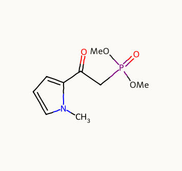 COP(=O)(CC(=O)c1cccn1C)OC